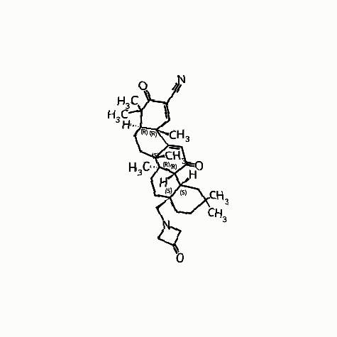 CC1(C)CC[C@]2(CN3CC(=O)C3)CC[C@]3(C)[C@H](C(=O)C=C4[C@@]5(C)C=C(C#N)C(=O)C(C)(C)[C@@H]5CC[C@]43C)[C@@H]2C1